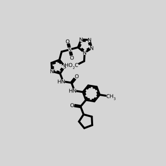 Cc1ccc(NC(=O)Nc2ncc(CS(=O)(=O)c3nnnn3CC(=O)O)s2)c(C(=O)C2CCCC2)c1